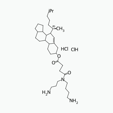 CC(C)CCC[C@@H](C)C1C=C2CC(OC(=O)CCC(=O)N(CCCN)CCCCN)CCC2C2CCC3CCCC3C21.Cl.Cl